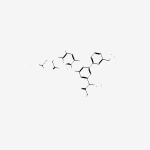 CCC(=O)C(N)c1cc(Oc2nc(O[C@H](CC(C)C)C(=O)O)c(F)cc2F)cc(-c2cccc(CN)c2)c1